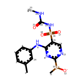 Cc1cccc(Nc2nc([S+](C)[O-])ncc2S(=O)(=O)NC(=O)NC(C)C)c1